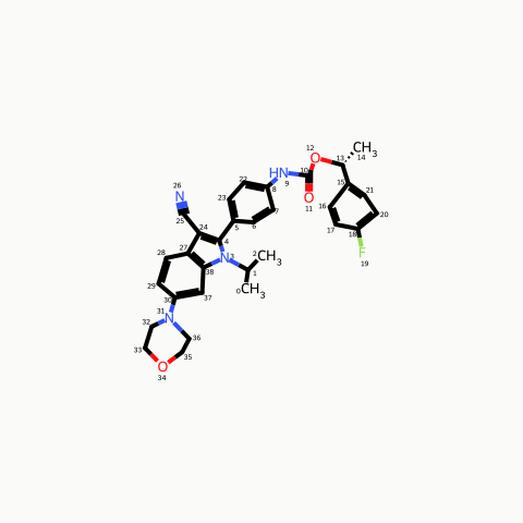 CC(C)n1c(-c2ccc(NC(=O)O[C@H](C)c3ccc(F)cc3)cc2)c(C#N)c2ccc(N3CCOCC3)cc21